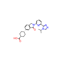 CC(C)n1cnnc1-c1cccc(N2Cc3ccc([C@H]4CC[C@H](C(=O)O)CC4)cc3C2=O)n1